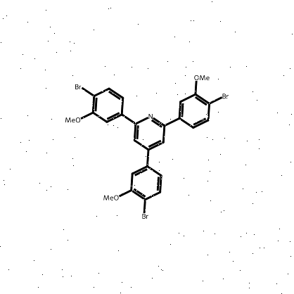 COc1cc(-c2cc(-c3ccc(Br)c(OC)c3)nc(-c3ccc(Br)c(OC)c3)c2)ccc1Br